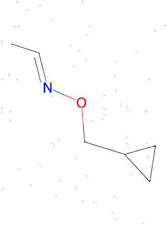 C/C=N/OCC1CC1